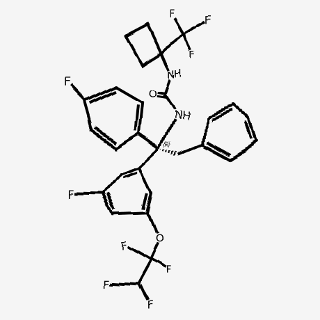 O=C(NC1(C(F)(F)F)CCC1)N[C@](Cc1ccccc1)(c1ccc(F)cc1)c1cc(F)cc(OC(F)(F)C(F)F)c1